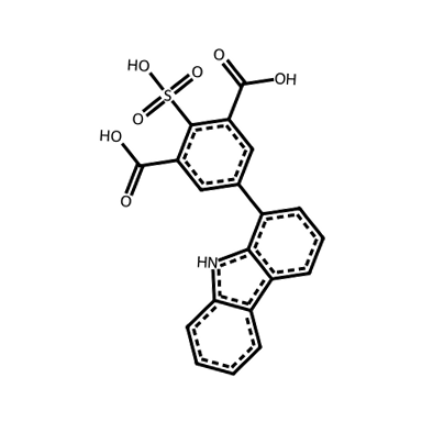 O=C(O)c1cc(-c2cccc3c2[nH]c2ccccc23)cc(C(=O)O)c1S(=O)(=O)O